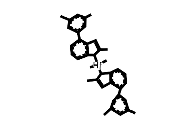 CC1=Cc2c(-c3cc(C)cc(C)c3)cccc2[CH]1[Hf]([CH3])([CH3])[CH]1C(C)=Cc2c(-c3cc(C)cc(C)c3)cccc21